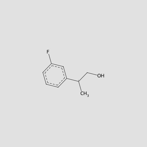 C[C](CO)c1cccc(F)c1